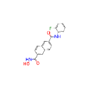 O=C(NO)c1ccc2cc(C(=O)Nc3ccccc3F)ccc2c1